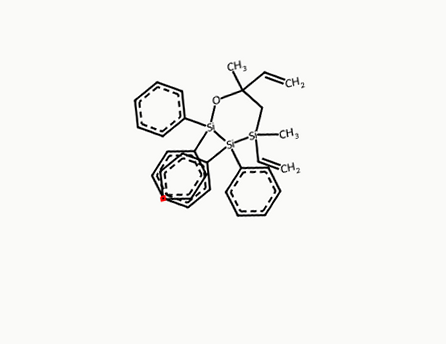 C=CC1(C)C[Si](C)(C=C)[Si](c2ccccc2)(c2ccccc2)[Si](c2ccccc2)(c2ccccc2)O1